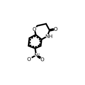 O=C1CCOc2ccc([N+](=O)[O-])cc2N1